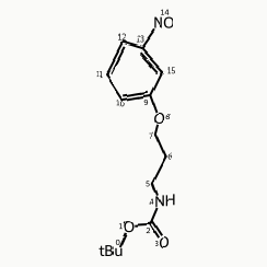 CC(C)(C)OC(=O)NCCCOc1cccc(N=O)c1